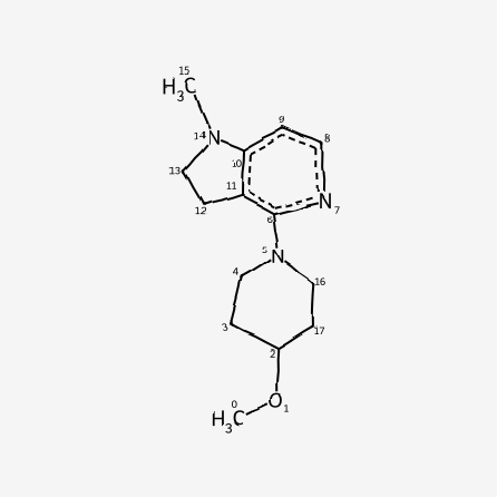 COC1CCN(c2nccc3c2CCN3C)CC1